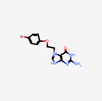 Nc1nc2[nH]c[n+](CCOc3ccc(Br)cc3)c2c(=O)[nH]1